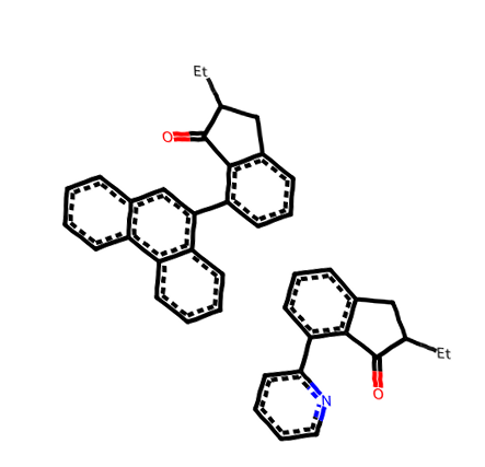 CCC1Cc2cccc(-c3cc4ccccc4c4ccccc34)c2C1=O.CCC1Cc2cccc(-c3ccccn3)c2C1=O